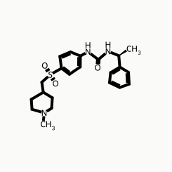 C[C@H](NC(=O)Nc1ccc(S(=O)(=O)CC2CCN(C)CC2)cc1)c1ccccc1